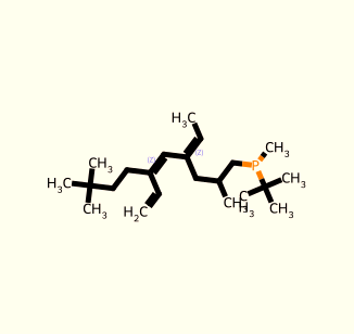 C=C/C(=C\C(=C/C)CC(C)CP(C)C(C)(C)C)CCC(C)(C)C